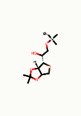 CC1(C)OC2CS[C@@H](C(O)CO[Si](C)(C)C(C)(C)C)[C@H]2O1